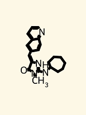 CN1C(=O)/C(=C/c2ccc3ncccc3c2)N=C1NC1CCCCCC1